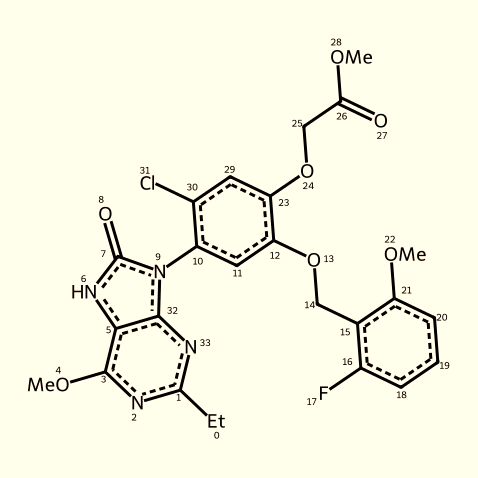 CCc1nc(OC)c2[nH]c(=O)n(-c3cc(OCc4c(F)cccc4OC)c(OCC(=O)OC)cc3Cl)c2n1